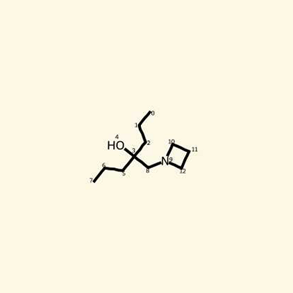 CCCC(O)(CCC)CN1CCC1